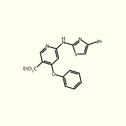 CCOC(=O)c1cnc(Nc2nc(C(C)C)cs2)cc1Oc1ccccc1